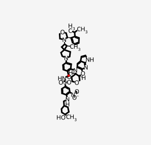 CC(C)c1ccccc1[C@@H]1COCCN1[C@@H]1CC2(CCN(c3ccc(C(=O)NS(=O)(=O)c4ccc(NCC5CCC(C)(O)CC5)c([N+](=O)[O-])c4)c(N4c5cc6cc[nH]c6nc5O[C@H]5COCC[C@@H]54)c3)CC2)[C@@H]1C